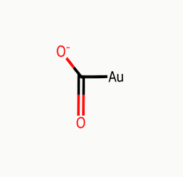 O=[C]([O-])[Au]